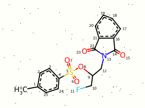 Cc1ccc(S(=O)(=O)OC(CF)CN2C(=O)c3ccccc3C2=O)cc1